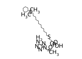 C[C@H](Cn1cnc2c(N)ncnc21)OCP(=O)(O)OCCSCCCCCCCCCCCCS(C)(C)C1CCCCC1